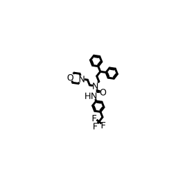 O=C(Nc1ccc(CC(F)(F)F)cc1)N(CCC(c1ccccc1)c1ccccc1)CCN1CCOCC1